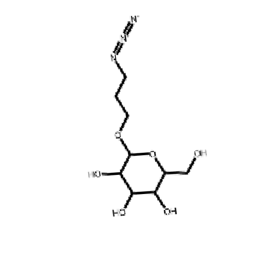 [N-]=[N+]=NCCCOC1OC(CO)C(O)C(O)C1O